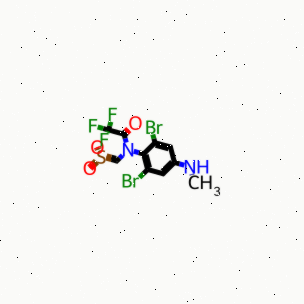 CNc1cc(Br)c(N(C=S(=O)=O)C(=O)C(F)(F)F)c(Br)c1